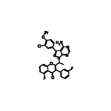 CC(C)Oc1ccc(-c2nn(C(C)c3oc4cccc(F)c4c(=O)c3-c3cccc(F)c3)c3ncnc(N)c23)cc1Cl